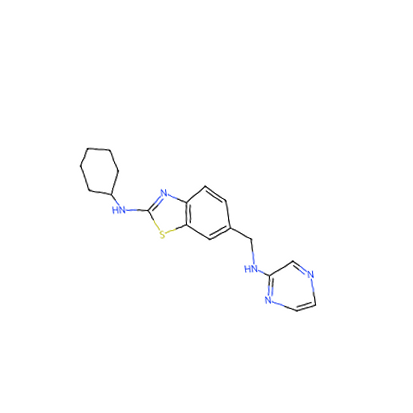 c1cnc(NCc2ccc3nc(NC4CCCCC4)sc3c2)cn1